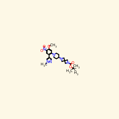 COc1cc(N2CCC(N3CC4(CN(C(=O)OC(C)(C)C)C4)C3)CC2)c(-c2cnn(C)c2)cc1[N+](=O)[O-]